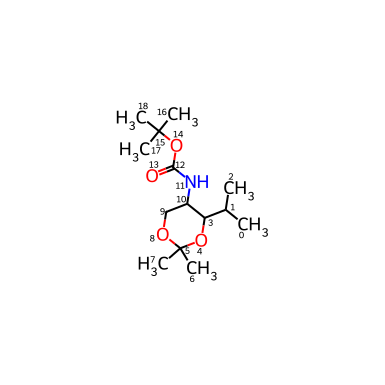 CC(C)C1OC(C)(C)OCC1NC(=O)OC(C)(C)C